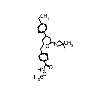 CCc1ccc(C(CCCc2ccc(C(=O)NOC)cc2)CC(=O)N2CC(C)(I)C2)cc1